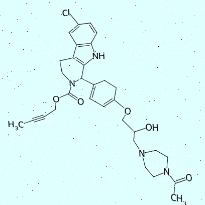 CC#CCOC(=O)N1CCc2c([nH]c3ccc(Cl)cc23)C1C1=CC=C(OCC(O)CN2CCN(C(C)=O)CC2)CC1